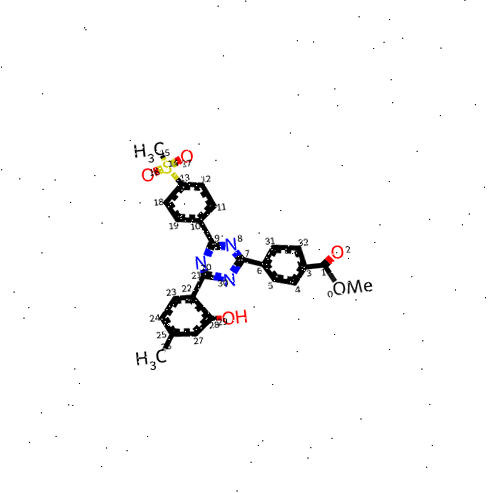 COC(=O)c1ccc(-c2nc(-c3ccc(S(C)(=O)=O)cc3)nc(-c3ccc(C)cc3O)n2)cc1